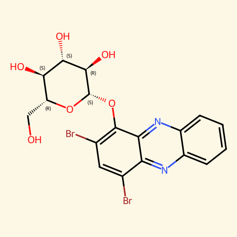 OC[C@H]1O[C@@H](Oc2c(Br)cc(Br)c3nc4ccccc4nc23)[C@H](O)[C@@H](O)[C@@H]1O